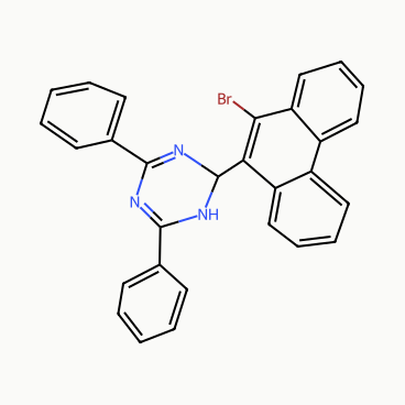 Brc1c(C2N=C(c3ccccc3)N=C(c3ccccc3)N2)c2ccccc2c2ccccc12